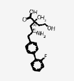 C[C@@](CCO)(C[C@H](N)Cc1ccc(-c2ccccc2F)cc1)C(=O)O